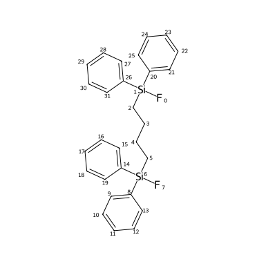 F[Si](CCCC[Si](F)(c1ccccc1)c1ccccc1)(c1ccccc1)c1ccccc1